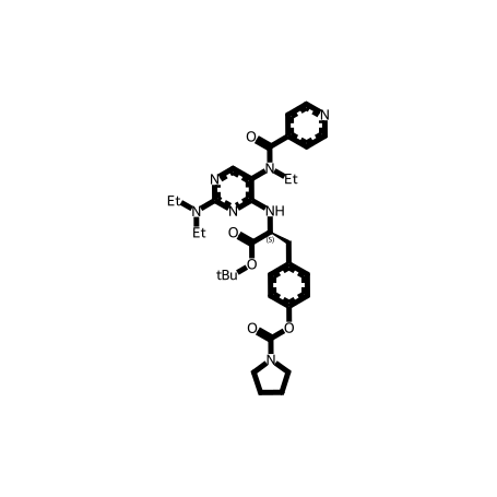 CCN(CC)c1ncc(N(CC)C(=O)c2ccncc2)c(N[C@@H](Cc2ccc(OC(=O)N3CCCC3)cc2)C(=O)OC(C)(C)C)n1